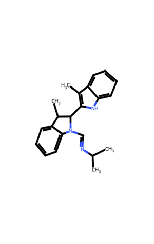 Cc1c(C2C(C)c3ccccc3N2/C=N/C(C)C)[nH]c2ccccc12